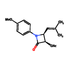 COc1ccc(N2C(=O)[C@H](OC(C)=O)[C@@H]2C=C(C)C)cc1